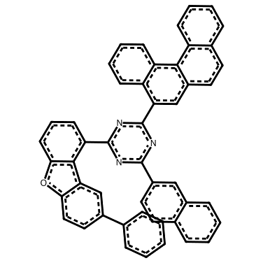 c1ccc(-c2ccc3oc4cccc(-c5nc(-c6ccc7ccccc7c6)nc(-c6cc7ccc8ccccc8c7c7ccccc67)n5)c4c3c2)cc1